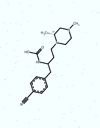 C[C@@H]1CN(C)CCN1CCC(Cc1ccc(C#N)cc1)NC(=O)O